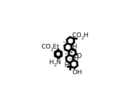 CC1(C)[C@@H](O)CC[C@]2(C)[C@H]3C(=O)C=C4[C@@H]5C[C@@](C)(C(=O)O)CC[C@]5(C)CC[C@@]4(C)[C@]3(C)CC[C@@H]12.CCOC(=O)c1ccc(N)cc1